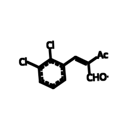 CC(=O)C([C]=O)=Cc1cccc(Cl)c1Cl